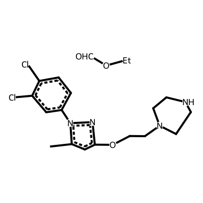 CCOC=O.Cc1cc(OCCN2CCNCC2)nn1-c1ccc(Cl)c(Cl)c1